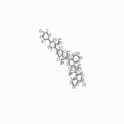 Cc1ccc(-c2ccc(-c3ccc(/C(F)=C(\F)c4ccc(/C(F)=C(\F)c5ccc(C)c6ccccc56)c5ccccc45)cc3)c(F)c2)cc1